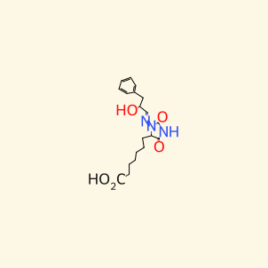 O=C(O)CCCCCCC1C(=O)NC(=O)N1/N=C/C(O)Cc1ccccc1